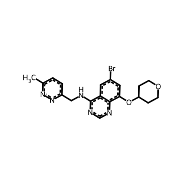 Cc1ccc(CNc2ncnc3c(OC4CCOCC4)cc(Br)cc23)nn1